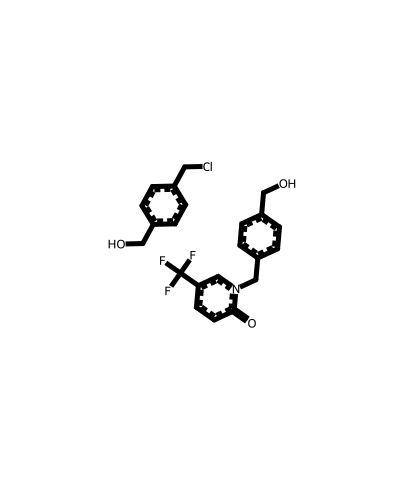 O=c1ccc(C(F)(F)F)cn1Cc1ccc(CO)cc1.OCc1ccc(CCl)cc1